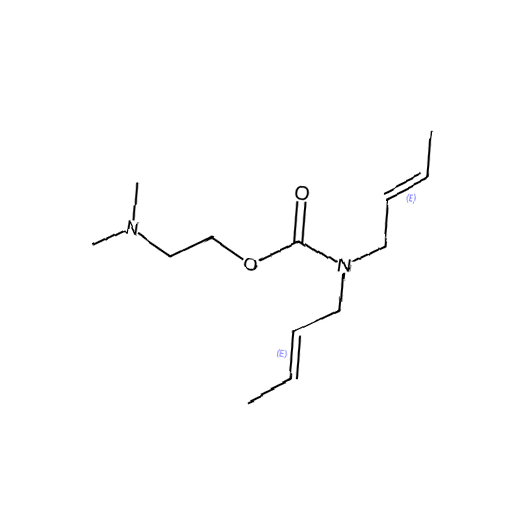 C/C=C/CN(C/C=C/C)C(=O)OCCN(C)C